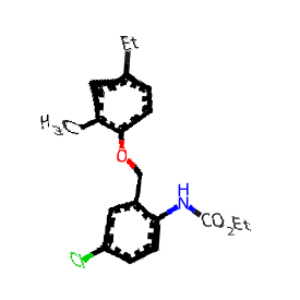 CCOC(=O)Nc1ccc(Cl)cc1COc1ccc(CC)cc1C